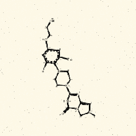 CN1C=C2N=C(N3CCN(c4c(F)cc(OCCO)cc4F)CC3)NC(=O)N2C1